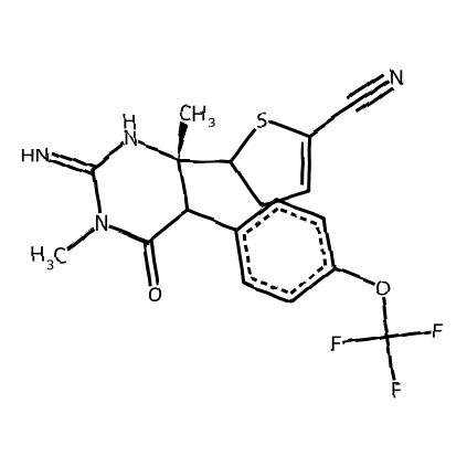 CN1C(=N)N[C@](C)(C2CC=C(C#N)S2)C(c2ccc(OC(F)(F)F)cc2)C1=O